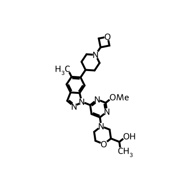 COc1nc(N2CCOC(C(C)O)C2)cc(-n2ncc3cc(C)c(C4CCN(C5COC5)CC4)cc32)n1